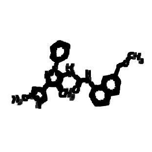 COCc1ccc2cccc(NC(=O)Nc3c(C)c(-c4cnn(C)c4)nn3-c3ccccc3)c2c1